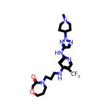 CN1CCC(n2ncc(Nc3cc(NCCCN4CCCOCC4=O)c(C(F)(F)F)cn3)n2)CC1